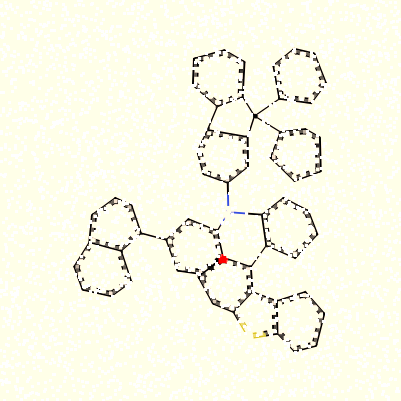 c1ccc(C2(c3ccccc3)c3ccccc3-c3ccc(N(c4cccc(-c5cccc6ccccc56)c4)c4ccccc4-c4cccc5sc6ccccc6c45)cc32)cc1